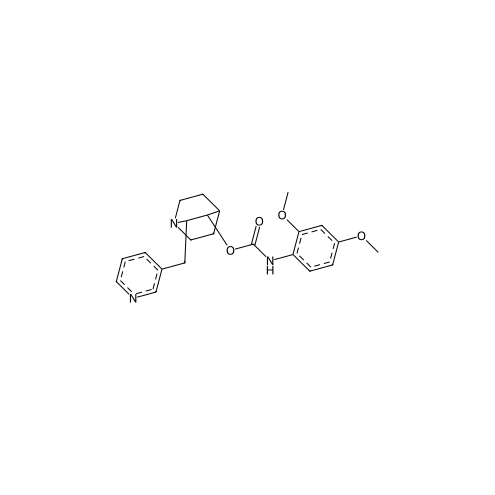 COc1ccc(NC(=O)OC2C3CCN(CC3)C2Cc2cccnc2)c(OC)c1